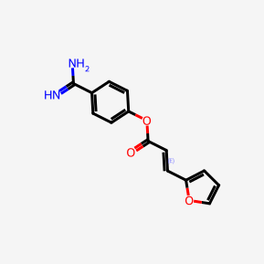 N=C(N)c1ccc(OC(=O)/C=C/c2ccco2)cc1